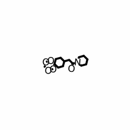 O=C(CC1CCC2(CC1)OOCOO2)N1CCCCC1